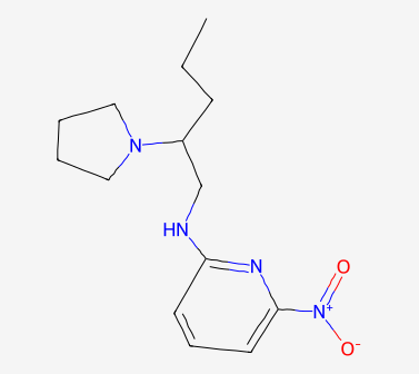 CCCC(CNc1cccc([N+](=O)[O-])n1)N1CCCC1